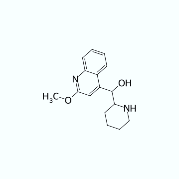 COc1cc(C(O)C2CCCCN2)c2ccccc2n1